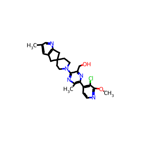 COc1nccc(-c2nc(CO)c(N3CCC4(CC3)Cc3cc(C)cnc3C4)nc2C)c1Cl